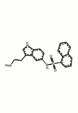 CNCCc1c[nH]c2ccc(NS(=O)(=O)c3cccc4ccccc34)cc12